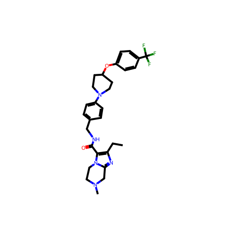 CCc1nc2n(c1C(=O)NCc1ccc(N3CCC(Oc4ccc(C(F)(F)F)cc4)CC3)cc1)CCN(C)C2